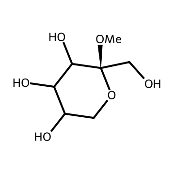 CO[C@@]1(CO)OCC(O)C(O)C1O